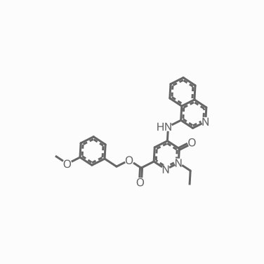 CCn1nc(C(=O)OCc2cccc(OC)c2)cc(Nc2cncc3ccccc23)c1=O